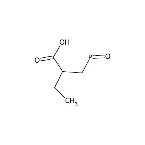 CCC(CP=O)C(=O)O